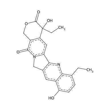 CCc1ccc(O)c2cc3c(nc12)-c1cc2c(c(=O)n1C3)COC(=O)C2(O)CC